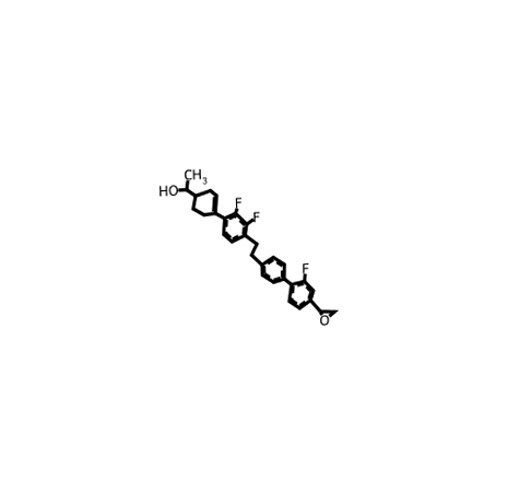 CC(O)C1CC=C(c2ccc(CCc3ccc(-c4ccc(C5CO5)cc4F)cc3)c(F)c2F)CC1